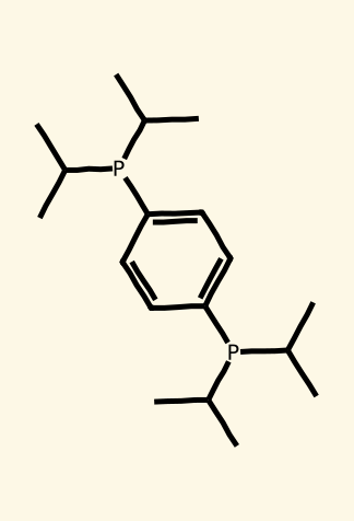 CC(C)P(c1ccc(P(C(C)C)C(C)C)cc1)C(C)C